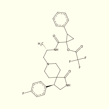 C[C@@H](CN1CCC2(CC1)C(=O)NC[C@H]2c1ccc(F)cc1)NC(=O)C1(OC(=O)C(F)(F)F)CC1c1ccccc1